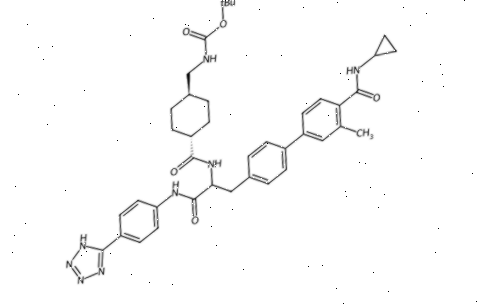 Cc1cc(-c2ccc(CC(NC(=O)[C@H]3CC[C@H](CNC(=O)OC(C)(C)C)CC3)C(=O)Nc3ccc(-c4nnn[nH]4)cc3)cc2)ccc1C(=O)NC1CC1